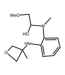 COCC(O)N(C)c1ccccc1NC1(C)COC1